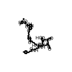 C#C[C@H]1CC(F)(F)CN1C(=O)CNC(=O)c1ccnc2ccc(OCCCCN3CCN(C(=O)CCCCCNC(=O)C(CCCCNC(=O)CCCc4ccc(C)cc4)NC(=O)CN4CCN(COC=O)CCN(COC=O)CCN(CC(=O)O)CC4)CC3)cc12